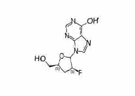 OC[C@@H]1C[C@H](F)C(n2cnc3c(O)ncnc32)O1